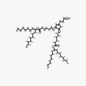 CCCCCCCCC(CCCCCCCC)OC(=O)CCCCCO[C@H]1CN(CCCO)C[C@H]1OCCCCCC(=O)OC(CCCCCCCC)CCCCCCCC